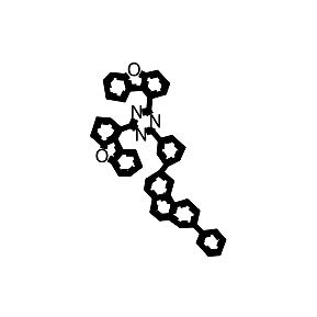 c1ccc(-c2ccc3c(ccc4ccc(-c5cccc(-c6nc(-c7cccc8oc9ccccc9c78)nc(-c7cccc8oc9ccccc9c78)n6)c5)cc43)c2)cc1